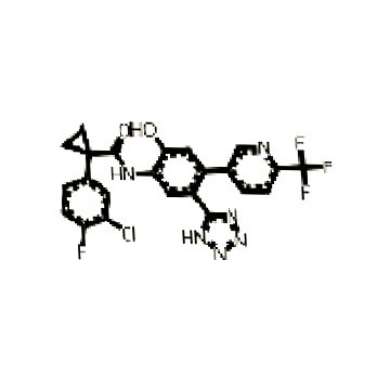 O=C(Nc1cc(-c2nnn[nH]2)c(-c2ccc(C(F)(F)F)nc2)cc1O)C1(c2ccc(F)c(Cl)c2)CC1